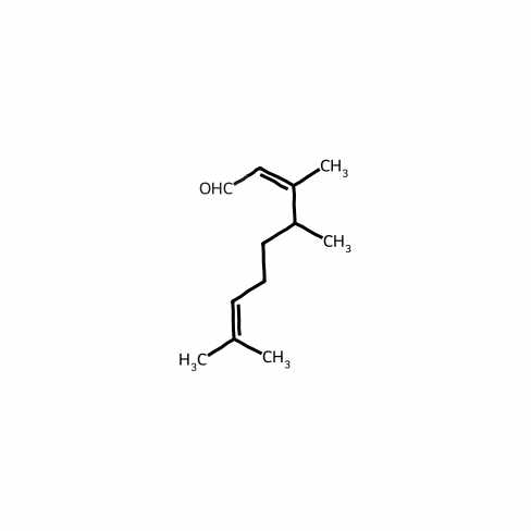 CC(C)=CCCC(C)C(C)=CC=O